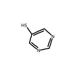 Sc1cncnc1